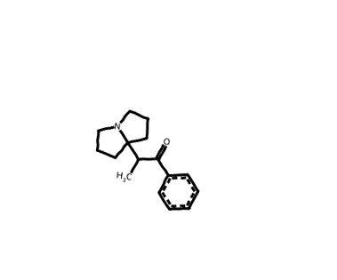 CC(C(=O)c1ccccc1)C12CCCN1CCC2